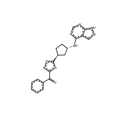 O=C(c1ccccc1)c1noc([C@H]2CC[C@H](Nc3ncnc4[nH]ncc34)C2)n1